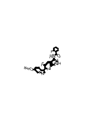 COc1ccc2c(-c3nc4[nH]nc(NC(=O)c5ccccc5F)c4cc3F)cnn2c1